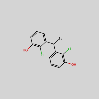 CCC(c1cccc(O)c1Cl)c1cccc(O)c1Cl